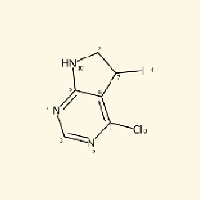 Clc1ncnc2c1C(I)CN2